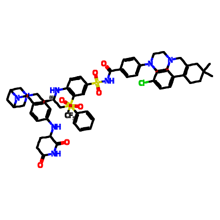 CC1(C)CCC(c2ccc(Cl)cc2)=C(CN2CCN(c3ccc(C(=O)NS(=O)(=O)c4ccc(N[C@H](CCN5CC6CC(C5)N6Cc5ccc(NC6CCC(=O)NC6=O)cc5)CSc5ccccc5)c(S(=O)(=O)C(F)(F)F)c4)cc3)CC2)C1